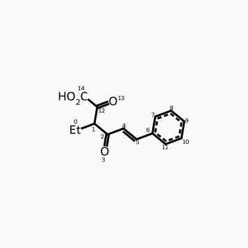 CCC(C(=O)C=Cc1ccccc1)C(=O)C(=O)O